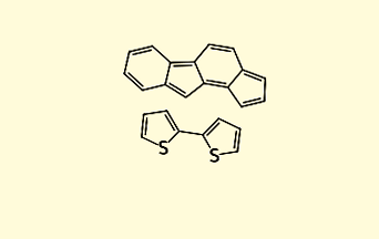 C1=Cc2c3c(ccc2=C1)=c1ccccc1=C3.c1csc(-c2cccs2)c1